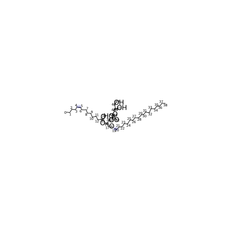 CCCC/C=C\CCCCCCCC(=O)O[C@H](CO/C=C\CCCCCCCCCCCCCCCCCC)COP(=O)(O)OC[C@@H](O)CO